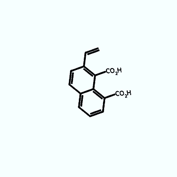 C=Cc1ccc2cccc(C(=O)O)c2c1C(=O)O